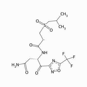 CC(C)CS(=O)(=O)C[CH]C(=O)N[C@@H](CC(N)=O)C(=O)c1noc(C(F)(F)F)n1